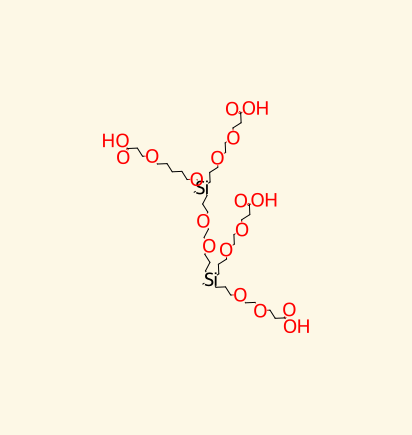 C[Si](CCCOCCOCCC[Si](C)(CCCOCCOCCC(=O)O)OCCCCCOCCC(=O)O)(CCCOCCOCCC(=O)O)CCCOCCOCCC(=O)O